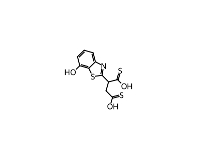 OC(=S)CC(C(O)=S)c1nc2cccc(O)c2s1